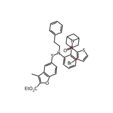 CCOC(=O)c1oc2ccc(SN(CCc3ccccc3)c3ccccc3N3CC4CC(C3)N4C(=O)c3sccc3Br)cc2c1C